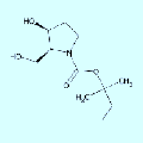 CC(C)(CI)OC(=O)N1CC[C@H](O)[C@@H]1CO